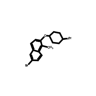 CCCC1CCC(Oc2ccc3cc(Br)ccc3c2C)CC1